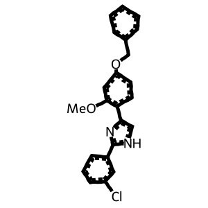 COc1cc(OCc2ccccc2)ccc1-c1c[nH]c(-c2cccc(Cl)c2)n1